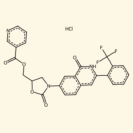 Cl.O=C(OCC1CN(c2ccc3cc(-c4ccccc4C(F)(F)F)[nH]c(=O)c3c2)C(=O)O1)c1cccnc1